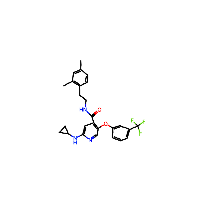 Cc1ccc(CCNC(=O)c2cc(NC3CC3)ncc2Oc2cccc(C(F)(F)F)c2)c(C)c1